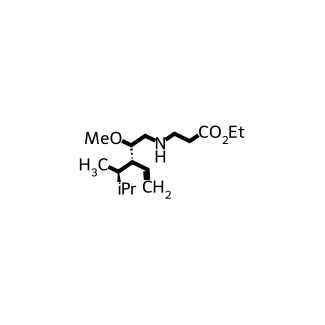 C=C[C@@H](C(CNCCC(=O)OCC)OC)[C@H](C)C(C)C